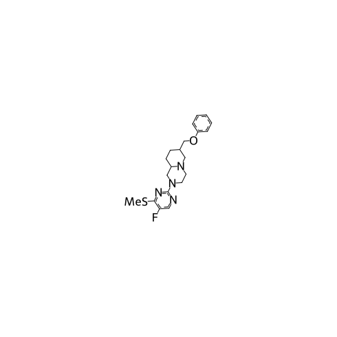 CSc1nc(N2CCN3CC(COc4ccccc4)CCC3C2)ncc1F